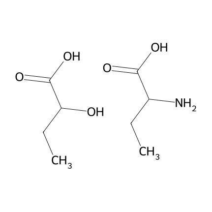 CCC(N)C(=O)O.CCC(O)C(=O)O